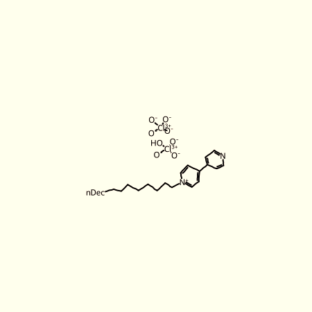 CCCCCCCCCCCCCCCCCC[n+]1ccc(-c2ccncc2)cc1.[O-][Cl+3]([O-])([O-])O.[O-][Cl+3]([O-])([O-])[O-]